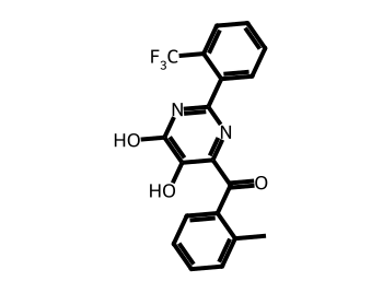 Cc1ccccc1C(=O)c1nc(-c2ccccc2C(F)(F)F)nc(O)c1O